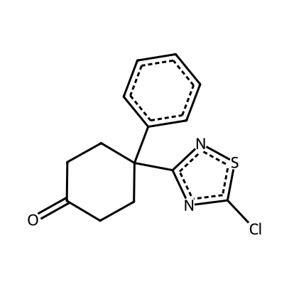 O=C1CCC(c2ccccc2)(c2nsc(Cl)n2)CC1